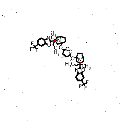 CCC(C)N1C2CCC1(OC(=O)/C=C\C(=O)OC13CCC(CC(c4nc5ccc(C(F)(F)F)cc5o4)C1)N3C(C)CC)CC(c1nc3ccc(C(F)(F)F)cc3o1)C2